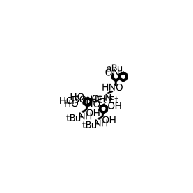 CC(C)(C)NCC(O)c1cc(O)cc(O)c1.CC(C)(C)NCC(O)c1cc(O)cc(O)c1.CCCCOc1cc(C(=O)NCCN(CC)CC)c2ccccc2n1.Cl.O=S(=O)(O)O